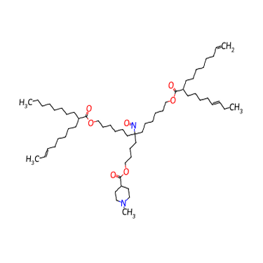 C=CCCCCCCC(CCCC/C=C/CC)C(=O)OCCCCCCC(CCCCCCOC(=O)C(CCCCC/C=C/C)CCCCCCCC)(CCCCOC(=O)C1CCN(C)CC1)N=O